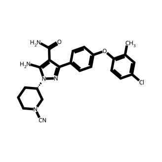 Cc1cc(Cl)ccc1Oc1ccc(-c2nn([C@H]3CCCN(C#N)C3)c(N)c2C(N)=O)cc1